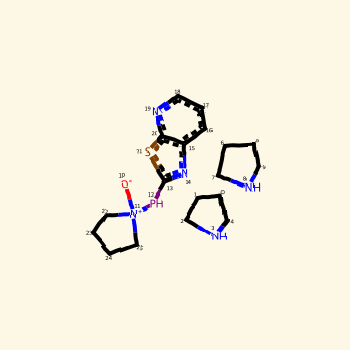 C1CCNC1.C1CCNC1.[O-][N+]1(Pc2nc3cccnc3s2)CCCC1